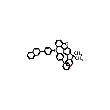 CC1(C)c2ccccc2-c2cc3c(cc21)oc1cccc(N(c2ccc(-c4ccccc4)cc2)c2ccc(-c4ccc5ccccc5c4)cc2)c13